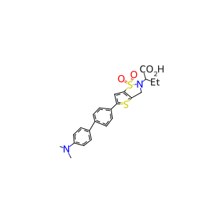 CCC(C(=O)O)N1Cc2sc(-c3ccc(-c4ccc(N(C)C)cc4)cc3)cc2S1(=O)=O